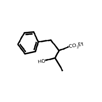 CCOC(=O)C(Cc1ccccc1)C(C)O